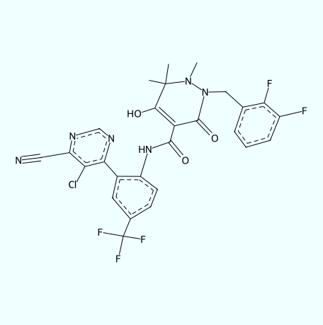 CN1N(Cc2cccc(F)c2F)C(=O)C(C(=O)Nc2ccc(C(F)(F)F)cc2-c2ncnc(C#N)c2Cl)=C(O)C1(C)C